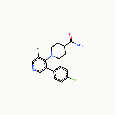 NC(=O)C1CCN(c2c(Cl)cncc2-c2ccc(F)cc2)CC1